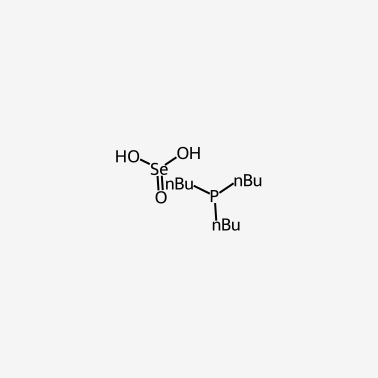 CCCCP(CCCC)CCCC.O=[Se](O)O